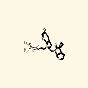 CN(C)S(=O)(=O)CCCn1c(CN2C(=O)C3(CC3)c3ccncc32)cc2cc(Cl)cnc21